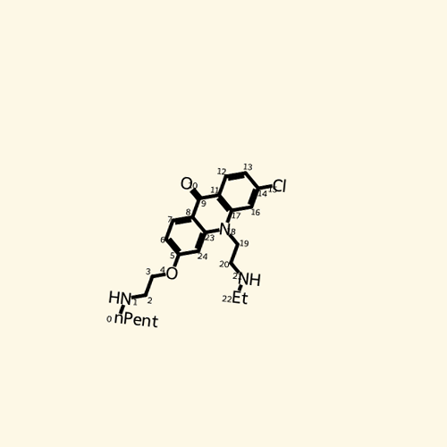 CCCCCNCCOc1ccc2c(=O)c3ccc(Cl)cc3n(CCNCC)c2c1